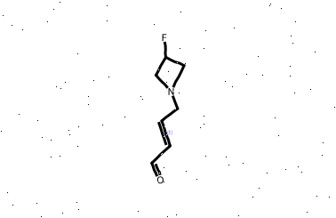 O=C/C=C/CN1CC(F)C1